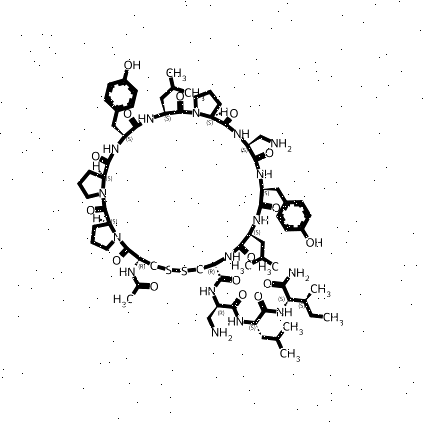 CC[C@H](C)[C@H](NC(=O)[C@H](CC(C)C)NC(=O)[C@@H](CN)NC(=O)[C@@H]1CSSC[C@H](NC(C)=O)C(=O)N2CCC[C@H]2C(=O)N2CCC[C@H]2C(=O)N[C@@H](Cc2ccc(O)cc2)C(=O)N[C@@H](CC(C)C)C(=O)N2CCC[C@H]2C(=O)N[C@@H](CN)C(=O)N[C@@H](Cc2ccc(O)cc2)C(=O)N[C@@H](CC(C)C)C(=O)N1)C(N)=O